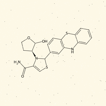 NC(=O)C1=CSC(c2ccc3c(c2)Nc2ccccc2S3)N1[C@H]1CCOC1O